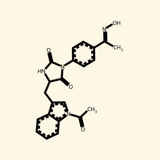 CC(=O)n1cc(CC2NC(=O)N(c3ccc(C(C)=NO)cc3)C2=O)c2ccccc21